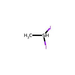 C[SiH](I)I